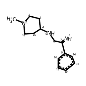 CN1CCC(NCC(=N)c2ccccc2)CC1